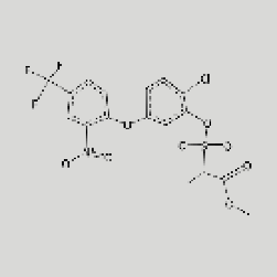 COC(=O)C(C)S(=O)(=O)Oc1cc(Oc2ccc(C(F)(F)F)cc2[N+](=O)[O-])ccc1Cl